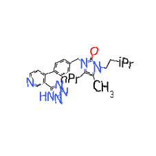 CCCc1c(C)n(CCC(C)C)c(=O)n1Cc1ccc(-c2ccncc2-c2nnn[nH]2)cc1